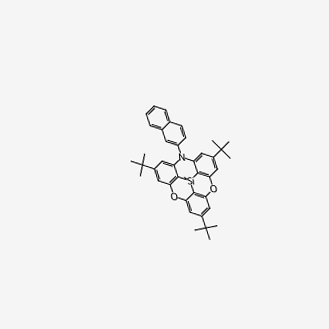 CC(C)(C)c1cc2c3c(c1)Oc1cc(C(C)(C)C)cc4c1[Si]3(C)c1c(cc(C(C)(C)C)cc1N4c1ccc3ccccc3c1)O2